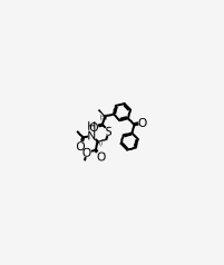 COC(=O)[C@H](CSC(=O)[C@@H](C)c1cccc(C(=O)c2ccccc2)c1)NC(C)=O